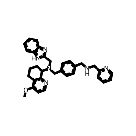 COc1ccnc2c1CCCC2N(Cc1ccc(CNCc2ccccn2)cc1)Cc1nc2ccccc2[nH]1